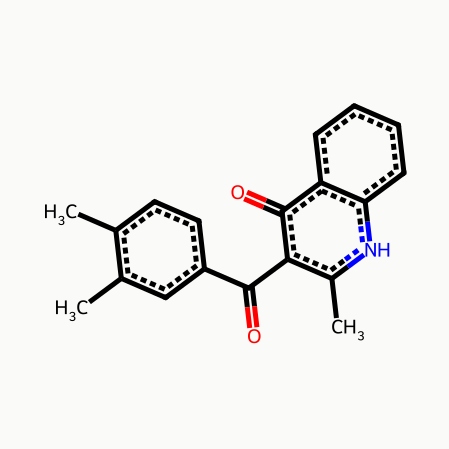 Cc1ccc(C(=O)c2c(C)[nH]c3ccccc3c2=O)cc1C